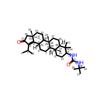 CC(C)C1=C2[C@H]3CC[C@@H]4[C@@]5(C)CCC(NC(=O)NC(C)(C)C)C(C)(C)[C@@H]5CC[C@@]4(C)[C@]3(C)CC[C@@]2(C)CC1=O